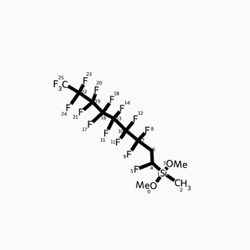 CO[Si](C)(OC)C(F)CC(F)(F)C(F)(F)C(F)(F)C(F)(F)C(F)(F)C(F)(F)C(F)(F)F